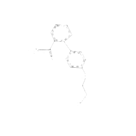 NC(=S)c1ccccc1-c1ccc(OCCCl)cc1